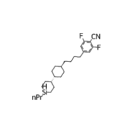 CCC[SiH]1CCC([C@H]2CC[C@H](CCCCc3cc(F)c(C#N)c(F)c3)CC2)CC1